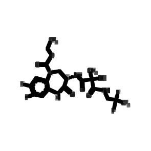 CC(O)(C(=O)NCC(F)(F)C(F)(F)F)C(=O)N[C@H]1CN(C(=O)OCC(F)(F)F)c2cc(F)c(F)cc2NC1=O